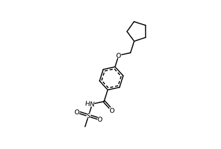 CS(=O)(=O)NC(=O)c1ccc(OCC2CCCC2)cc1